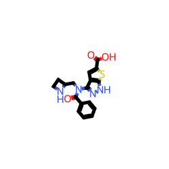 O=C(O)c1cc2c(N(CC3CCN3)C(=O)c3ccccc3)n[nH]c2s1